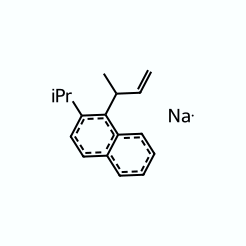 C=CC(C)c1c(C(C)C)ccc2ccccc12.[Na]